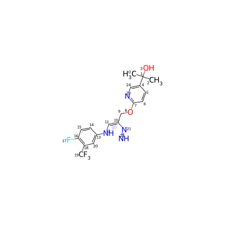 CC(C)(O)c1ccc(OC/C(=C/Nc2ccc(F)c(C(F)(F)F)c2)N=N)nc1